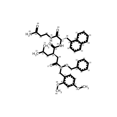 COc1ccc(CN(OCc2ccccc2)C(=O)C[C@@H](CC(C)C)C(=O)N[C@@H](Cc2cccc3ccccc23)C(=O)NCCC(N)=O)c(OC)c1